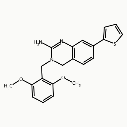 COc1cccc(OC)c1CN1Cc2ccc(-c3cccs3)cc2N=C1N